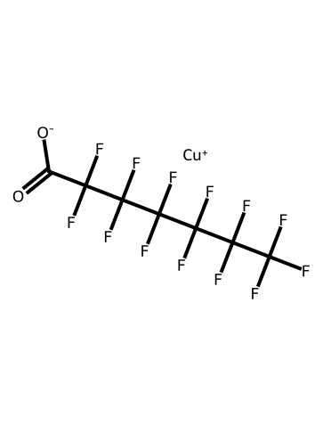 O=C([O-])C(F)(F)C(F)(F)C(F)(F)C(F)(F)C(F)(F)C(F)(F)F.[Cu+]